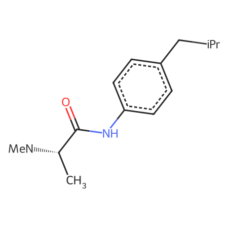 CN[C@@H](C)C(=O)Nc1ccc(CC(C)C)cc1